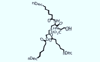 CCCCCCCCCCCCCCCC(=O)NC(CSCC(COC(=O)CCCCCCCCCCCCCCC)OC(=O)CCCCCCCCCCCCCCC)C(=O)N[C@H](CO)C(=O)O